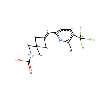 Cc1nc(C=C2CC3(C2)CN(C(=O)O)C3)ccc1C(F)(F)F